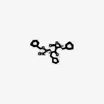 O=CN(C[C@@H](CC1CCCC1)C(=O)N1C(=O)OC[C@@H]1Cc1ccccc1)OCc1ccccc1